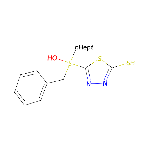 CCCCCCCS(O)(Cc1ccccc1)c1nnc(S)s1